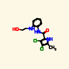 Cc1[nH]c(C(=O)Nc2ccccc2NCCO)c(Cl)c1Cl